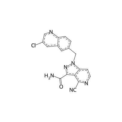 N#Cc1nccc2c1c(C(N)=O)nn2Cc1ccc2ncc(Cl)cc2c1